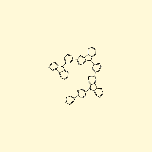 c1ccc(-c2ccc(-n3c4ccccc4c4cc(-c5cccc(C6c7ccccc7-c7cc(-c8cccc(C9c%10ccccc%10-c%10ccccc%109)c8)ccc76)c5)ccc43)cc2)cc1